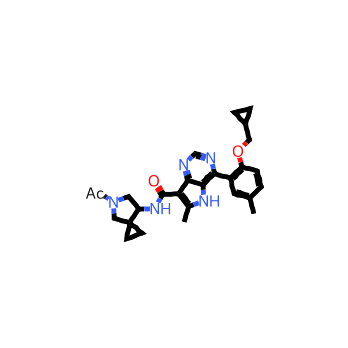 CC(=O)N1CC(NC(=O)c2c(C)[nH]c3c(-c4cc(C)ccc4OCC4CC4)ncnc23)C2(CC2)C1